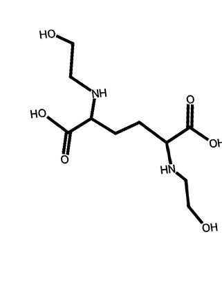 O=C(O)C(CCC(NCCO)C(=O)O)NCCO